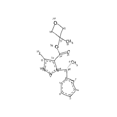 C[C@H](c1ccccc1)n1nnc(I)c1C(=O)OC1(C)COC1